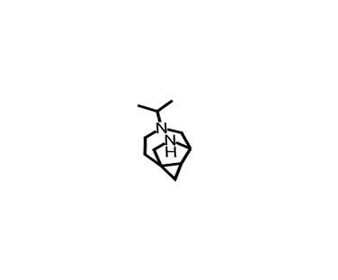 CC(C)N1CCC23CNC(C1)C2C3